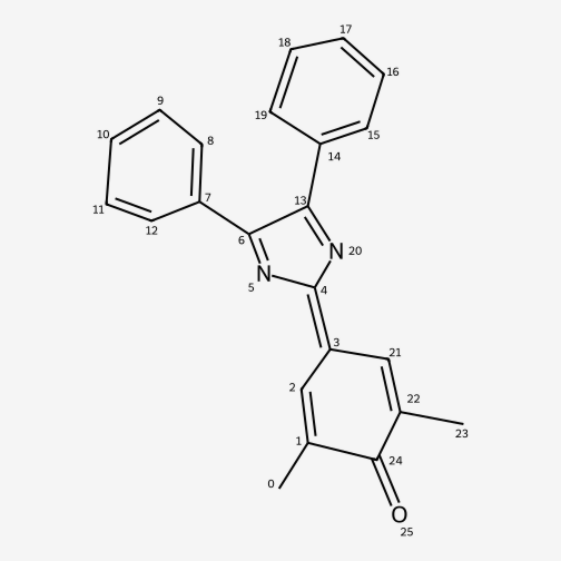 CC1=CC(=C2N=C(c3ccccc3)C(c3ccccc3)=N2)C=C(C)C1=O